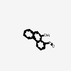 O=Pc1cccc2c1c(O)cc1ccccc12